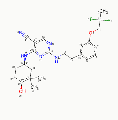 CC(F)(F)COc1cccc(CCNc2ncc(C#N)c(N[C@@H]3CC[C@H](O)C(C)(C)C3)n2)c1